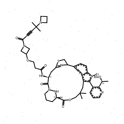 CCn1c(-c2cccnc2[C@H](C)OC)c2c3cc(ccc31)C1CSC(=N1)C[C@H](NC(=O)CCOC1CN(C(=O)C#CC(C)(C)N3CCC3)C1)C(=O)N1CCC[C@H](N1)C(=O)OCC(C)(C)C2